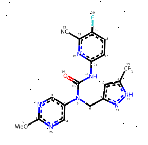 COc1ncc(N(Cc2cc(C(F)(F)F)[nH]n2)C(=O)Nc2ccc(F)c(C#N)n2)cn1